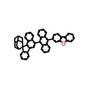 c1ccc2c(c1)-c1cc(-c3c4ccccc4c(-c4ccc5c(c4)oc4ccccc45)c4ccccc34)c3ccccc3c1C21C2CC3CC(C2)CC1C3